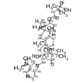 CC(C)C1=C2[C@H]3CC[C@@H]4[C@@]5(C)CC[C@H](OC(=O)CC(C)(C)C(=O)O)C(C)(C)[C@@H]5CC[C@@]4(C)[C@]3(C)CC[C@@]2([C@@H](O)CN(CCN(C)C)Cc2ccncc2)CC1=O